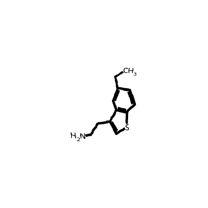 CCc1ccc2scc(CCN)c2c1